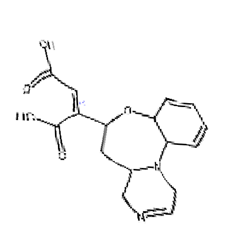 O=C(O)/C=C(\C(=O)O)C1CC2CN=CCN2C2C=CC=CC2O1